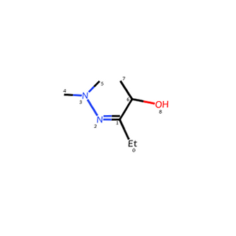 CCC(=NN(C)C)C(C)O